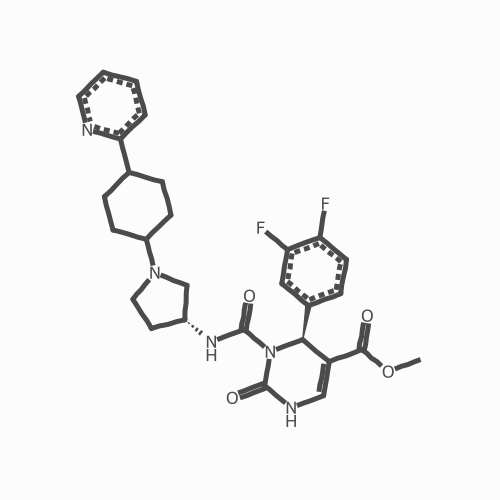 COC(=O)C1=CNC(=O)N(C(=O)N[C@@H]2CCN(C3CCC(c4ccccn4)CC3)C2)[C@H]1c1ccc(F)c(F)c1